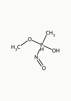 CO[PH](C)(O)N=O